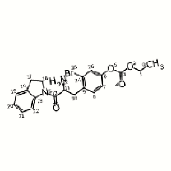 CCOC(=O)Oc1ccc(C[C@H](N)C(=O)N2CCc3ccccc32)c(Br)c1